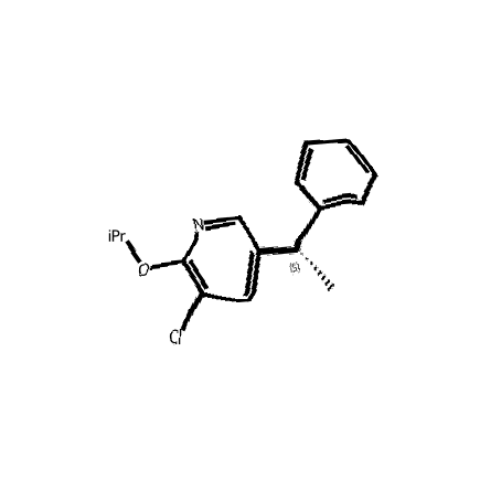 CC(C)Oc1ncc([C@@H](C)c2ccccc2)cc1Cl